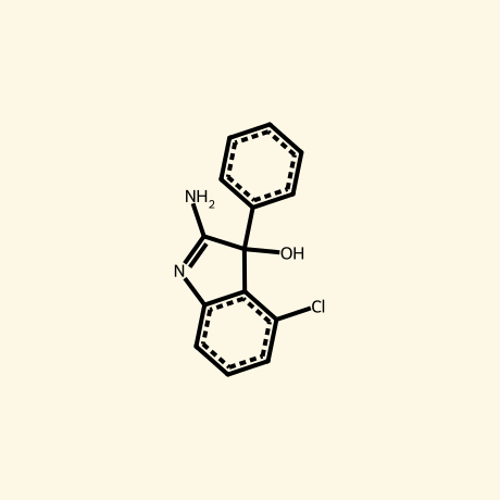 NC1=Nc2cccc(Cl)c2C1(O)c1ccccc1